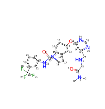 CN(C)C(=O)CNCc1cc(Oc2ccc3c(ccn3C(=O)Nc3cccc(C(F)(F)F)c3)c2)ncn1